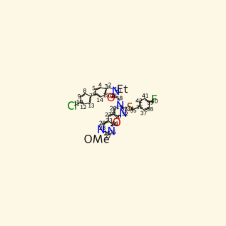 CCN(Cc1ccc(-c2ccc(Cl)cc2)cc1)C(=O)Cn1cc(Cc2cnc(OC)nc2)c(=O)nc1SCc1ccc(F)cc1